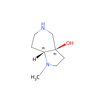 CN1CC[C@@]2(O)CNCC[C@@H]12